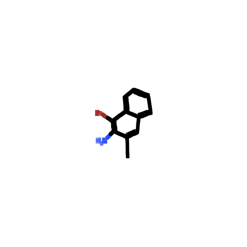 Cc1cc2ccccc2c(Br)c1N